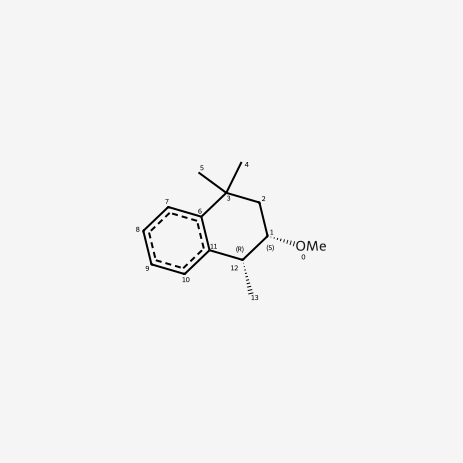 CO[C@H]1CC(C)(C)c2ccccc2[C@H]1C